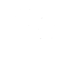 [O]C([Se]c1ccccc1)[Se]c1ccccc1